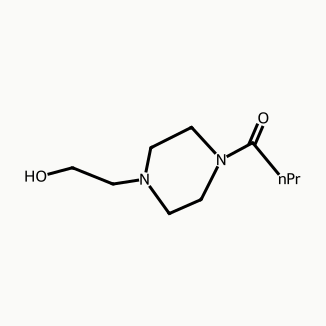 CCCC(=O)N1CCN(CCO)CC1